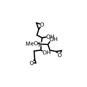 CO[Si](C(O)CC1CO1)(C(O)CC1CO1)C(O)CC1CO1